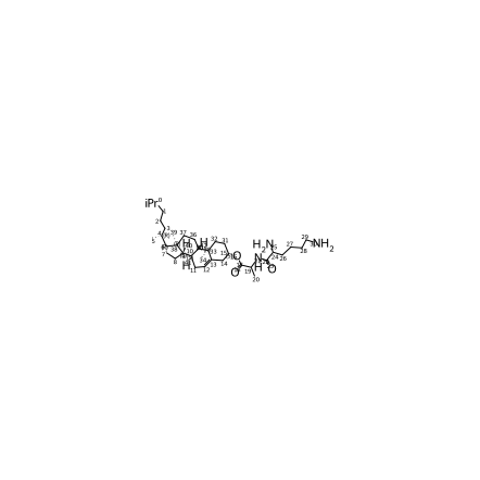 CC(C)CCC[C@@H](C)[C@H]1CC[C@H]2[C@@H]3CC=C4C[C@@H](OC(=O)C(C)NC(=O)C(N)CCCCN)CC[C@]4(C)[C@H]3CC[C@]12C